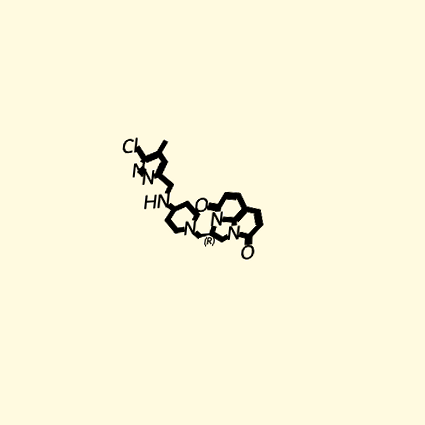 Cc1cc(CNC2CCN(C[C@@H]3Cn4c(=O)ccc5ccc(=O)n3c54)CC2)nnc1Cl